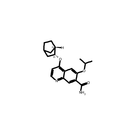 CC(C)Oc1cc2c(O[C@@H]3CC4CC[C@H]3C4)ccnc2cc1C(N)=O